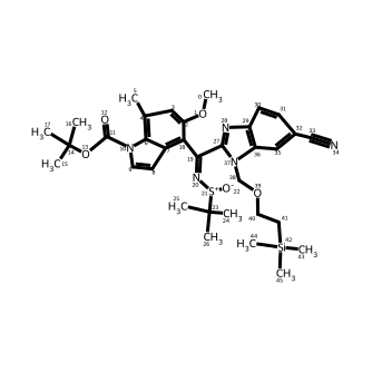 COc1cc(C)c2c(ccn2C(=O)OC(C)(C)C)c1C(=N[S+]([O-])C(C)(C)C)c1nc2ccc(C#N)cc2n1COCC[Si](C)(C)C